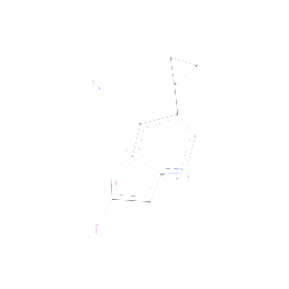 N#Cc1c(C2CC2)cnc2cc(I)oc12